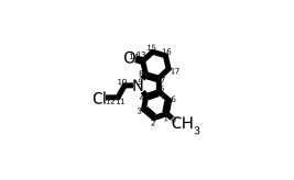 Cc1ccc2c(c1)c1c(n2CCCl)C(=O)CCC1